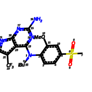 CC[C@H](C)N(c1ccc(S(C)(=O)=O)cc1OC)c1nc(N)nc2[nH]cc(C(F)(F)F)c12